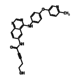 Cc1ccc(Oc2ccc(Nc3ncnc4ccc(NC(=O)C#CCCO)cc34)cc2)cn1